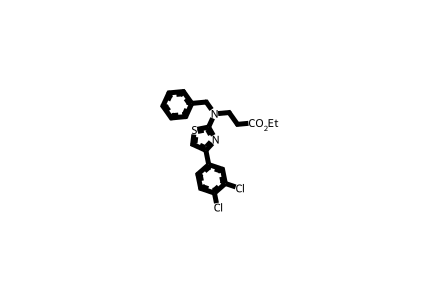 CCOC(=O)CCN(Cc1ccccc1)c1nc(-c2ccc(Cl)c(Cl)c2)cs1